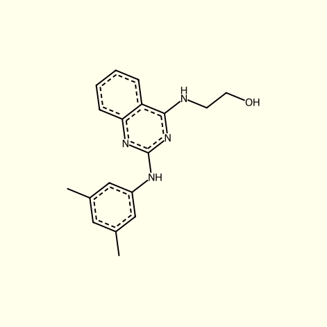 Cc1cc(C)cc(Nc2nc(NCCO)c3ccccc3n2)c1